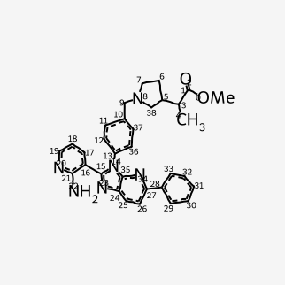 COC(=O)C(C)C1CCN(Cc2ccc(-n3c(-c4cccnc4N)nc4ccc(-c5ccccc5)nc43)cc2)C1